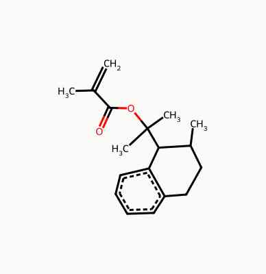 C=C(C)C(=O)OC(C)(C)C1c2ccccc2CCC1C